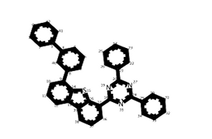 c1ccc(-c2cccc(-c3cccc4c3sc3c(-c5nc(-c6ccccc6)nc(-c6ccccc6)n5)cccc34)c2)cc1